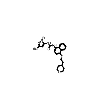 CC(C)n1nc(C(C)(C)C)cc1NC(=O)Nc1ccc(OCCC2CCOCC2)c2ccccc12